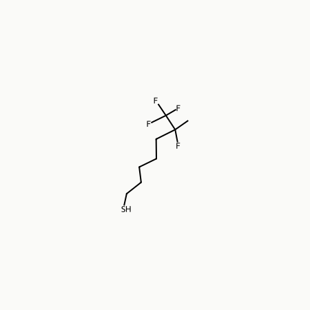 CC(F)(CCCCCS)C(F)(F)F